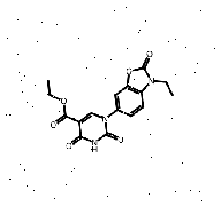 CCOC(=O)c1cn(-c2ccc3c(c2)oc(=O)n3CC)c(=O)[nH]c1=O